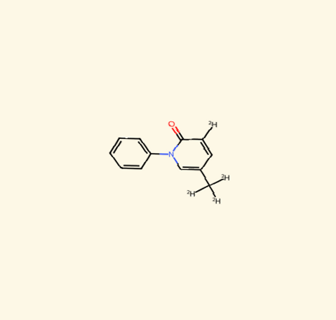 [2H]c1cc(C([2H])([2H])[2H])cn(-c2ccccc2)c1=O